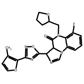 Cc1ccoc1-c1noc(C2N=CN3c4cccc(F)c4N(CC4CCCO4)C(=O)C23)n1